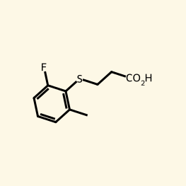 Cc1cccc(F)c1SCCC(=O)O